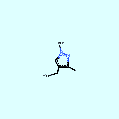 CCCn1cc(CC(C)(C)C)c(C)n1